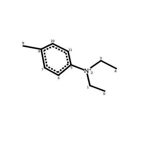 CC[N+](CC)c1ccc(C)cc1